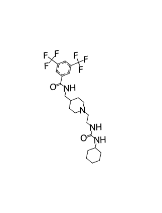 O=C(NCCN1CCC(CNC(=O)c2cc(C(F)(F)F)cc(C(F)(F)F)c2)CC1)NC1CCCCC1